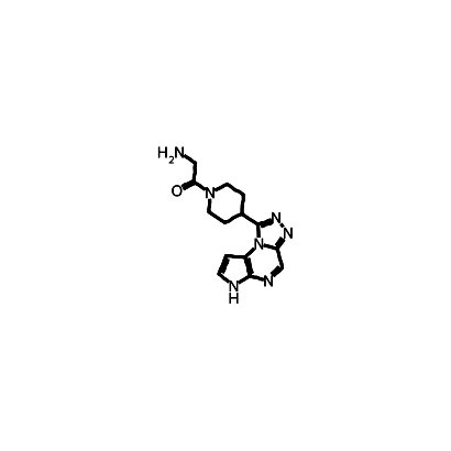 NCC(=O)N1CCC(c2nnc3cnc4[nH]ccc4n23)CC1